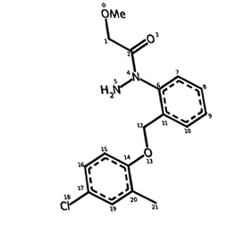 COCC(=O)N(N)c1ccccc1COc1ccc(Cl)cc1C